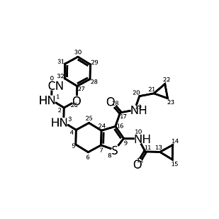 N#CNC(NC1CCc2sc(NC(=O)C3CC3)c(C(=O)NCC3CC3)c2C1)Oc1ccccc1